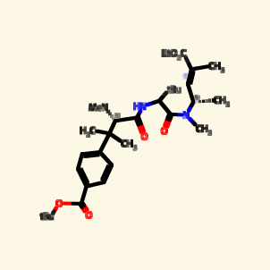 CCOC(=O)/C(C)=C/[C@H](C)N(C)C(=O)C(NC(=O)[C@@H](NC)C(C)(C)c1ccc(C(=O)OC(C)(C)C)cc1)C(C)(C)C